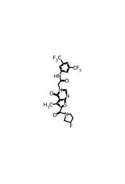 Cc1c(C(=O)N2CC[C@H](F)C2)sc2ncn(CC(=O)Nc3cc(C(F)(F)F)cc(C(F)(F)F)c3)c(=O)c12